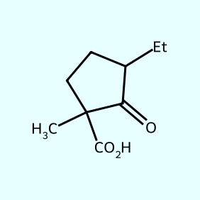 CCC1CCC(C)(C(=O)O)C1=O